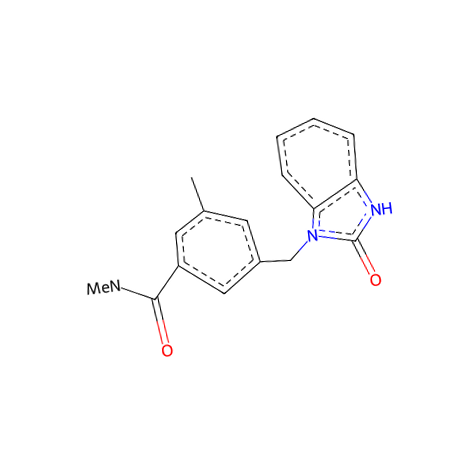 CNC(=O)c1cc(C)cc(Cn2c(=O)[nH]c3ccccc32)c1